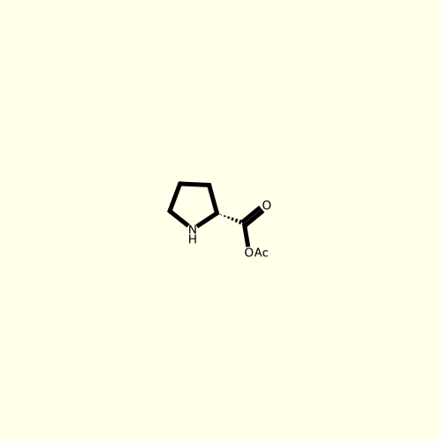 CC(=O)OC(=O)[C@H]1CCCN1